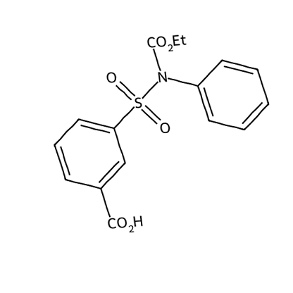 CCOC(=O)N(c1ccccc1)S(=O)(=O)c1cccc(C(=O)O)c1